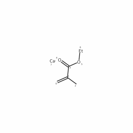 C=C(C)C(=O)OCC.[Ca]